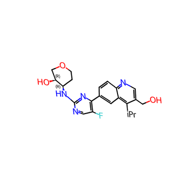 CC(C)c1c(CO)cnc2ccc(-c3nc(N[C@@H]4CCOC[C@@H]4O)ncc3F)cc12